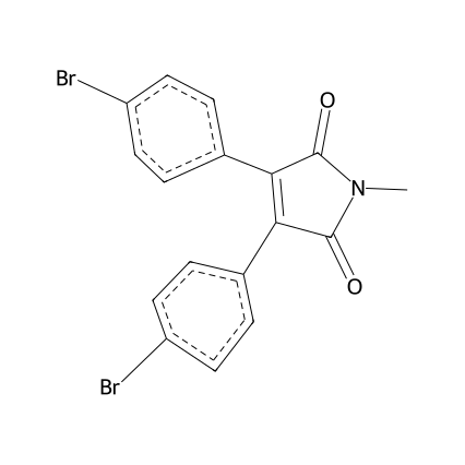 CN1C(=O)C(c2ccc(Br)cc2)=C(c2ccc(Br)cc2)C1=O